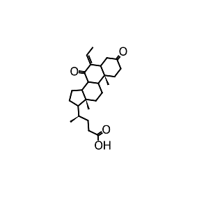 C/C=C1/C(=O)C2C(CC[C@@]3(C)C2CCC3[C@H](C)CCC(=O)O)[C@@]2(C)CCC(=O)CC12